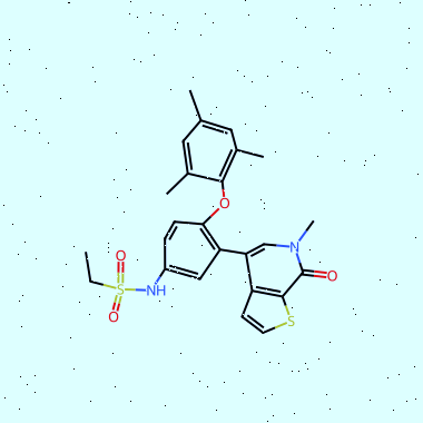 CCS(=O)(=O)Nc1ccc(Oc2c(C)cc(C)cc2C)c(-c2cn(C)c(=O)c3sccc23)c1